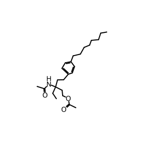 CCCCCCCCc1ccc(CCC(CC)(CCOC(C)=O)NC(C)=O)cc1